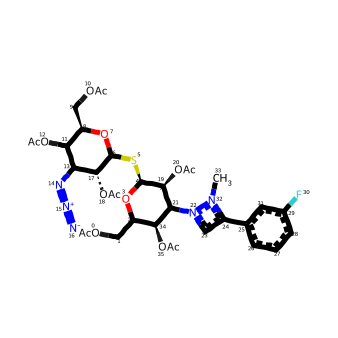 CC(=O)OCC1O[C@@H](SC2O[C@H](COC(C)=O)C(OC(C)=O)C(N=[N+]=[N-])[C@H]2OC(C)=O)[C@@H](OC(C)=O)C(n2cc(-c3cccc(F)c3)n2C)[C@H]1OC(C)=O